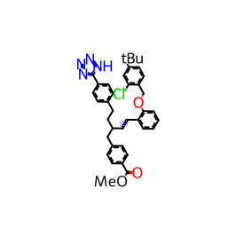 COC(=O)c1ccc(CC(/C=C/c2ccccc2OCc2ccc(C(C)(C)C)cc2Cl)CCc2ccc(-c3nnn[nH]3)cc2)cc1